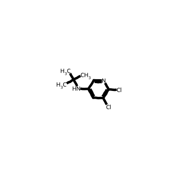 CC(C)(C)Nc1cnc(Cl)c(Cl)c1